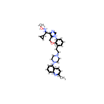 CO/N=C(/c1ncn2c1COc1c(CCN3CCN(c4cccc5nc(C)ccc45)CC3)cccc1-2)C1CC1